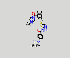 CC(=O)N1CCN(C(=O)c2cc(CSc3cnc(NC(=O)c4ccc(CN[C@@H](C)C(C)(C)C)cc4)s3)cc(C)c2C)CC1